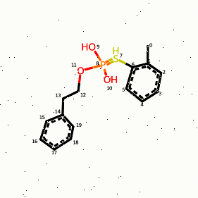 Cc1ccccc1[SH]=P(O)(O)OCCc1ccccc1